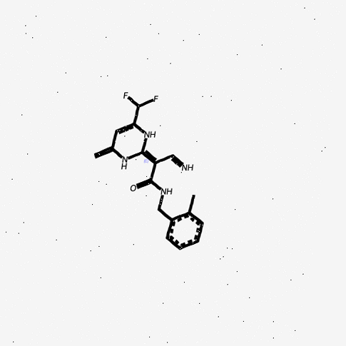 C=C1C=C(C(F)F)N/C(=C(\C=N)C(=O)NCc2ccccc2C)N1